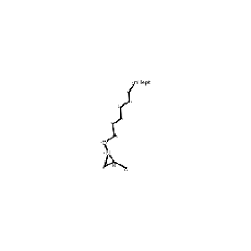 CCCCCCCCCCCCCON1CC1C